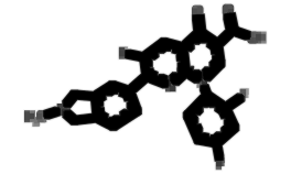 CN1Cc2ccc(-c3nc4c(cc3F)c(=O)c(C(=O)O)cn4-c3ccc(F)cc3F)cc2C1